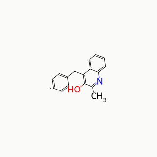 Cc1nc2ccccc2c(Cc2cc[c]cc2)c1O